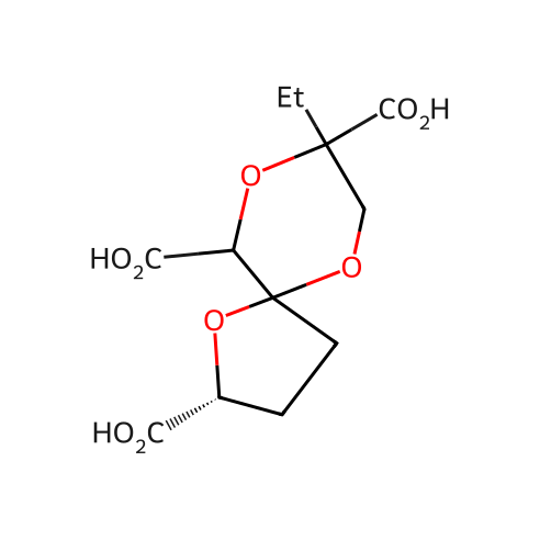 CCC1(C(=O)O)COC2(CC[C@H](C(=O)O)O2)C(C(=O)O)O1